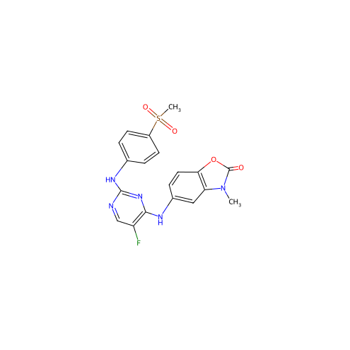 Cn1c(=O)oc2ccc(Nc3nc(Nc4ccc(S(C)(=O)=O)cc4)ncc3F)cc21